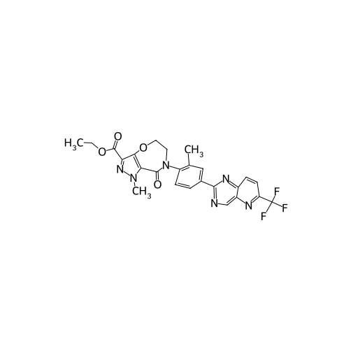 CCOC(=O)c1nn(C)c2c1OCCN(c1ccc(-c3ncc4nc(C(F)(F)F)ccc4n3)cc1C)C2=O